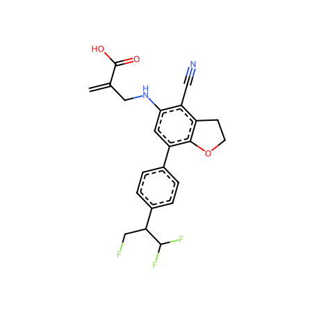 C=C(CNc1cc(-c2ccc(C(CF)C(F)F)cc2)c2c(c1C#N)CCO2)C(=O)O